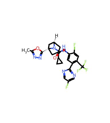 Cc1nnc([C@]23C[C@H](C4CC4)C[C@H](C2)N3C(=O)Nc2cc(-c3ncc(F)cn3)c(C(F)(F)F)cc2F)o1